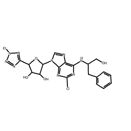 CCn1nnc(C2OC(n3cnc4c(NC(CO)Cc5ccccc5)nc(Cl)nc43)C(O)C2O)n1